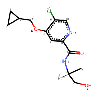 CC[C@](C)(CO)NC(=O)c1cc(OCC2CC2)c(Cl)cn1